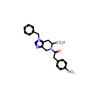 O=C(O)C1Cc2c(ncn2Cc2ccccc2)CN1C(=O)Cc1ccc([N+](=O)[O-])cc1